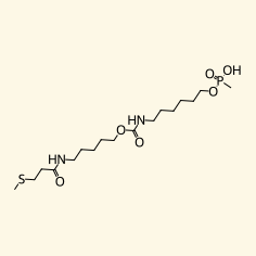 CSCCC(=O)NCCCCCOC(=O)NCCCCCCOP(C)(=O)O